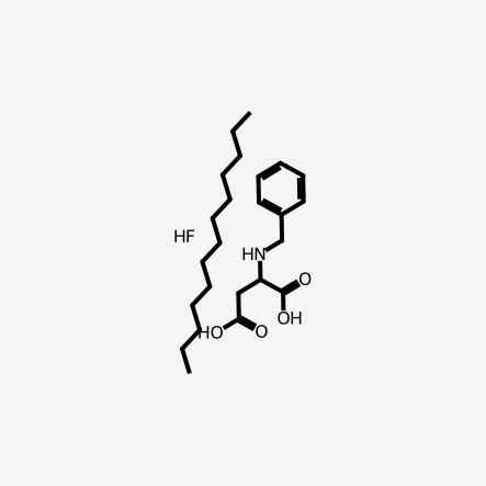 CCCCCCCCCCCCC.F.O=C(O)CC(NCc1ccccc1)C(=O)O